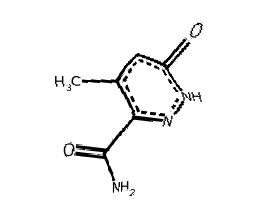 Cc1cc(=O)[nH]nc1C(N)=O